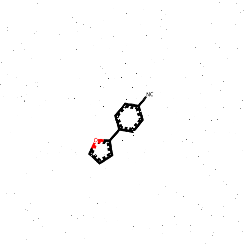 [C-]#[N+]c1ccc(-c2ccco2)cc1